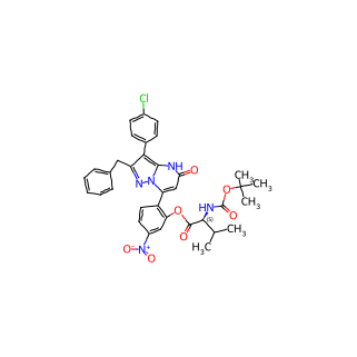 CC(C)[C@H](NC(=O)OC(C)(C)C)C(=O)Oc1cc([N+](=O)[O-])ccc1-c1cc(=O)[nH]c2c(-c3ccc(Cl)cc3)c(Cc3ccccc3)nn12